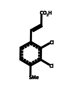 CSc1ccc(C=CC(=O)O)c(Cl)c1Cl